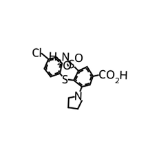 NS(=O)(=O)c1cc(C(=O)O)cc(N2CCCC2)c1Sc1ccc(Cl)cc1